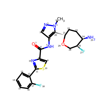 Cn1ncc(NC(=O)c2csc(-c3ccccc3F)n2)c1[C@@H]1CC[C@@H](N)[C@@H](F)CO1